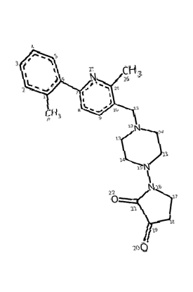 Cc1ccccc1-c1ccc(CN2CCN(N3CCC(=O)C3=O)CC2)c(C)n1